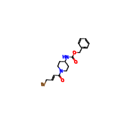 O=C(NC1CCN(C(=O)C=CCBr)CC1)OCc1ccccc1